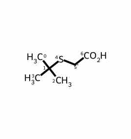 CC(C)(C)S[CH]C(=O)O